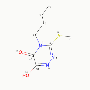 CCCCn1c(SC)nnc(O)c1=O